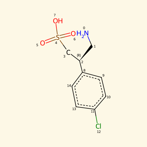 NC[C@H](CS(=O)(=O)O)c1ccc(Cl)cc1